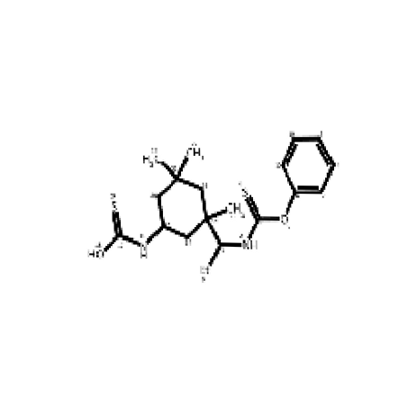 CCC(NC(=S)Oc1ccccc1)C1(C)CC(NC(O)=S)CC(C)(C)C1